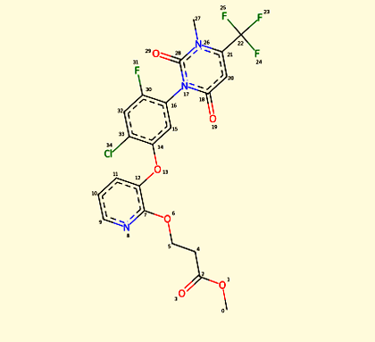 COC(=O)CCOc1ncccc1Oc1cc(-n2c(=O)cc(C(F)(F)F)n(C)c2=O)c(F)cc1Cl